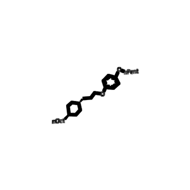 CCCCCCCC[C@H]1CC[C@H](CCCOc2ccc(OCCCCC)cc2)CC1